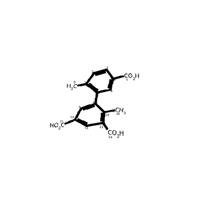 Cc1ccc(C(=O)O)cc1-c1cc(C(=O)O)cc(C(=O)O)c1C